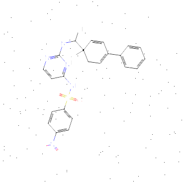 CC(Nc1nccc(NS(=O)(=O)c2ccc([N+](=O)[O-])cc2)n1)C1(C)C=CC(c2ccccc2)=CC1